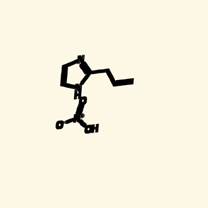 C=CCc1ncc[nH]1.O=[N+]([O-])O